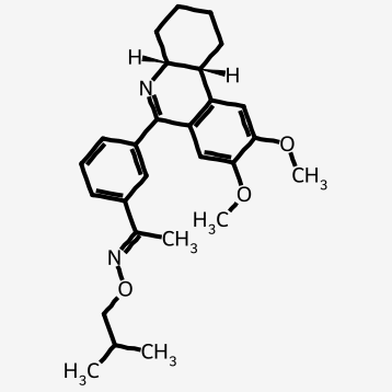 COc1cc2c(cc1OC)[C@H]1CCCC[C@H]1N=C2c1cccc(/C(C)=N/OCC(C)C)c1